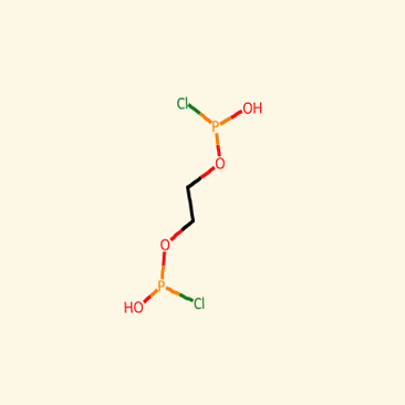 OP(Cl)OCCOP(O)Cl